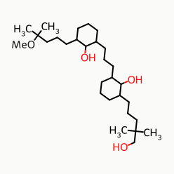 COC(C)(C)CCCC1CCCC(CCCC2CCCC(CCCC(C)(C)CO)C2O)C1O